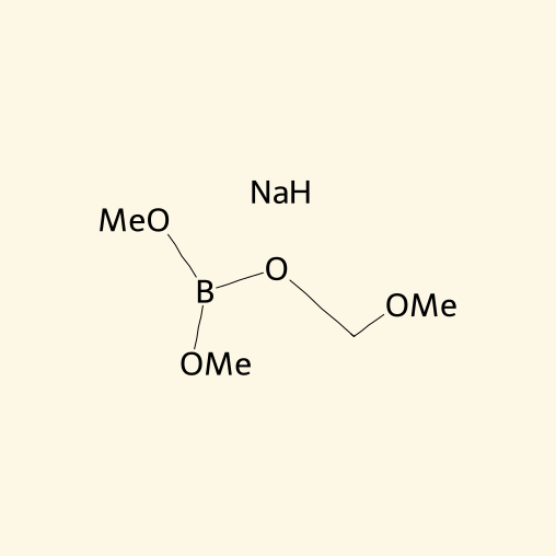 COCOB(OC)OC.[NaH]